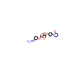 NCc1cccc(O[C@H]2CO[C@H]3C2OC[C@H]3Oc2ccc(N3CCCCC3=O)cc2)c1